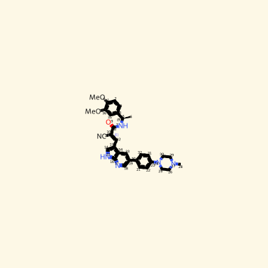 COc1ccc([C@@H](C)NC(=O)/C(C#N)=C/c2c[nH]c3ncc(-c4ccc(N5CCN(C)CC5)cc4)cc23)cc1OC